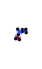 c1ccc(-c2nc(-c3ccc(-c4nc5ccccc5c5c4oc4ccccc45)cc3)nc(-c3ccc(-n4c5ccccc5c5ccccc54)c4ccccc34)n2)cc1